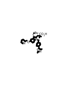 Cc1nc(C)c(-c2ccc(Cn3c(CC(C)(C)C(=O)O)c(SC(C)(C)C)c4cc(OCc5ccccn5)ccc43)cc2)s1